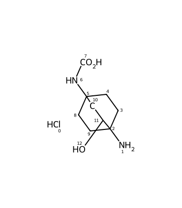 Cl.NC12CCC(NC(=O)O)(CC1)CC2O